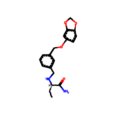 CC[C@H](NCc1cccc(COc2ccc3c(c2)OCO3)c1)C(N)=O